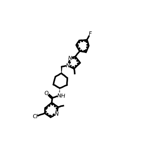 Cc1ncc(Cl)cc1C(=O)N[C@H]1CC[C@H](Cn2nc(-c3ccc(F)cc3)cc2C)CC1